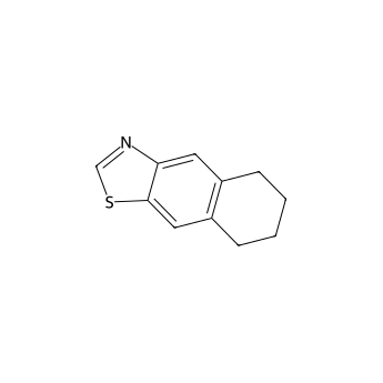 c1nc2cc3c(cc2s1)CCCC3